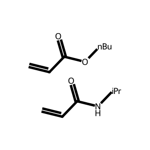 C=CC(=O)NC(C)C.C=CC(=O)OCCCC